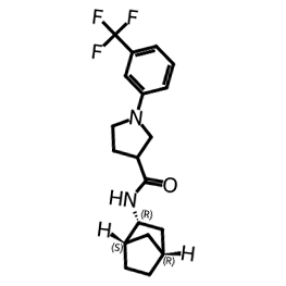 O=C(N[C@@H]1C[C@@H]2CC[C@H]1C2)C1CCN(c2cccc(C(F)(F)F)c2)C1